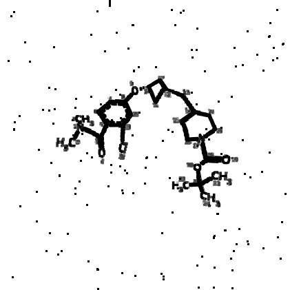 CN(C)C(=O)c1ccc(O[C@H]2C[C@H](CC3CCN(C(=O)OC(C)(C)C)CC3)C2)cc1Cl